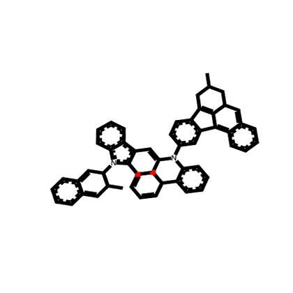 CC1CC2=C3C(=c4ccccc4=CC3C1)c1cc(N(C3=Cc4c(n(C5C=c6ccccc6=CC5C)c5ccccc45)CC3)c3ccccc3C3C=CC=CC3)ccc12